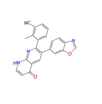 Cc1c(C#N)cccc1-c1nc2[nH]ccc(=O)c2cc1-c1ccc2ncoc2c1